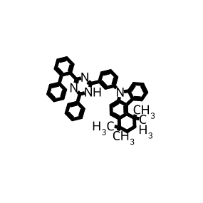 CC1(C)CCC(C)(C)c2c1ccc1c2c2ccccc2n1-c1cccc(C2=NC(c3ccccc3-c3ccccc3)=NC(c3ccccc3)N2)c1